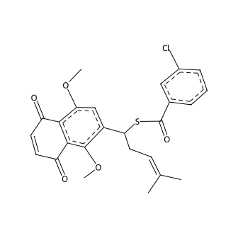 COc1cc(C(CC=C(C)C)SC(=O)c2cccc(Cl)c2)c(OC)c2c1C(=O)C=CC2=O